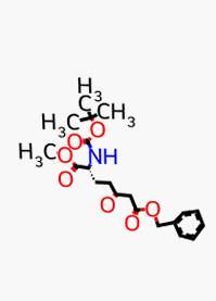 COC(=O)[C@@H](CCC(=O)CC(=O)OCc1ccccc1)NC(=O)OC(C)(C)C